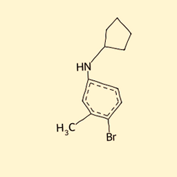 Cc1cc(NC2CCCC2)ccc1Br